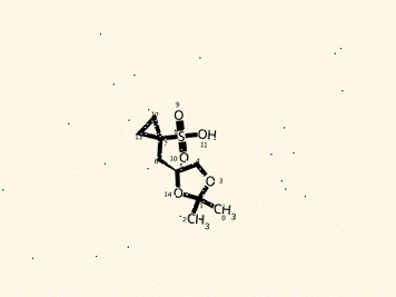 CC1(C)OC[C@H](CC2(S(=O)(=O)O)CC2)O1